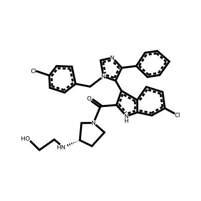 O=C(c1[nH]c2cc(Cl)ccc2c1-c1c(-c2ccccc2)ncn1Cc1ccc(Cl)cc1)N1CC[C@H](NCCO)C1